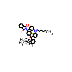 CCCCCCN1c2cccc(CN3C(=O)c4ccccc4C3=O)c2Sc2c1cccc2C(O[SiH2]C(C)(C)C)(c1ccccc1)c1ccccc1